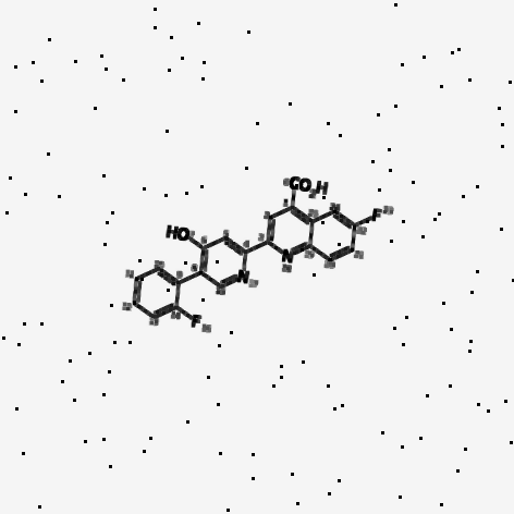 O=C(O)c1cc(-c2cc(O)c(-c3ccccc3F)cn2)nc2ccc(F)cc12